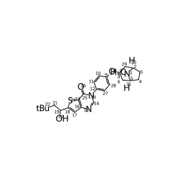 CN1[C@@H]2CC[C@H]1CC(Oc1ccc(-n3cnc4cc(C(O)CC(C)(C)C)sc4c3=O)cc1)C2